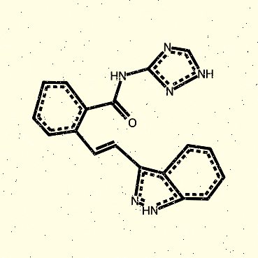 O=C(Nc1nc[nH]n1)c1ccccc1C=Cc1n[nH]c2ccccc12